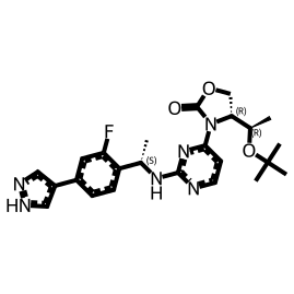 C[C@H](Nc1nccc(N2C(=O)OC[C@@H]2[C@@H](C)OC(C)(C)C)n1)c1ccc(-c2cn[nH]c2)cc1F